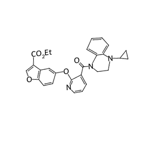 CCOC(=O)c1coc2ccc(Oc3ncccc3C(=O)N3CCN(C4CC4)c4ccccc43)cc12